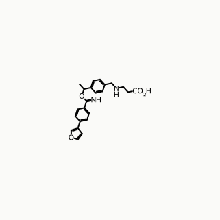 CC(OC(=N)c1ccc(-c2ccoc2)cc1)c1ccc(CNCCC(=O)O)cc1